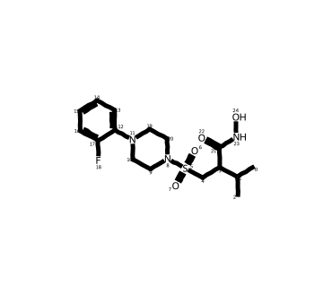 CC(C)C(CS(=O)(=O)N1CCN(c2ccccc2F)CC1)C(=O)NO